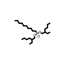 CCCCCCCCCCP(=O)(OCC(CC)CCCC)OCC(CC)CCCC